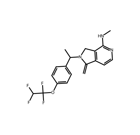 C=C1c2ccnc(NC)c2CN1C(C)c1ccc(OC(F)(F)C(F)F)cc1